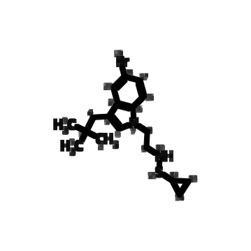 CC(C)(C)Cc1cn(CCNSC2CC2)c2ccc(Br)cc12